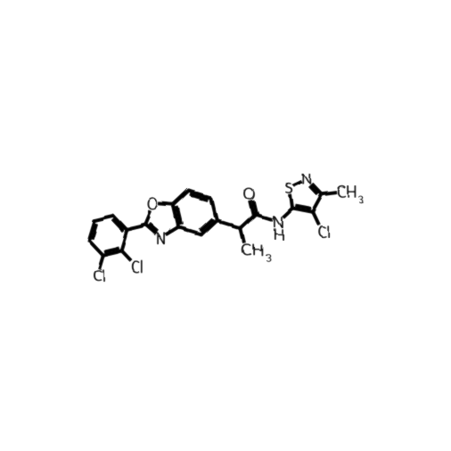 Cc1nsc(NC(=O)C(C)c2ccc3oc(-c4cccc(Cl)c4Cl)nc3c2)c1Cl